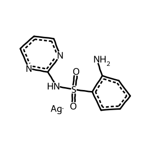 Nc1ccccc1S(=O)(=O)Nc1ncccn1.[Ag]